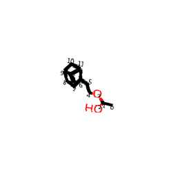 CC(O)OCCC1CCC2CC1C2(C)C